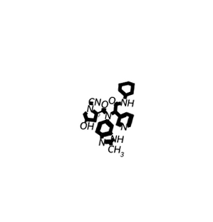 Cc1nc2ccc(N(C(=O)[C@H]3C[C@@H](O)CN3C#N)C(C(=O)NC3CCCCC3)c3cccnc3)cc2[nH]1